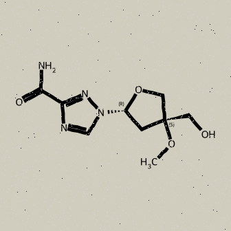 CO[C@@]1(CO)CO[C@@H](n2cnc(C(N)=O)n2)C1